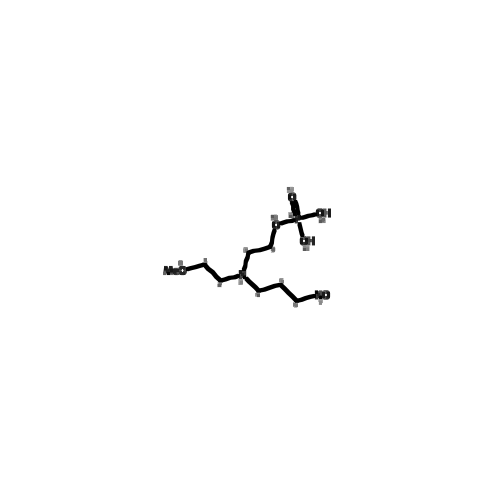 COCCN(CCCN=O)CCOP(=O)(O)O